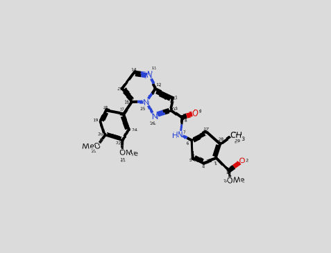 COC(=O)c1ccc(NC(=O)c2cc3nccc(-c4ccc(OC)c(OC)c4)n3n2)cc1C